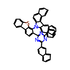 c1ccc(-c2nc(-c3ccc4ccccc4c3)nc(-c3ccc4c(sc5ccccc54)c3-n3c4cc5ccccc5cc4c4c5ccccc5ccc43)n2)cc1